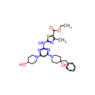 CCOC(=O)c1sc(Nc2nc(N3CCC(O)CC3)cc(N3CCC(O)(Cc4ccccc4)CC3)n2)nc1C